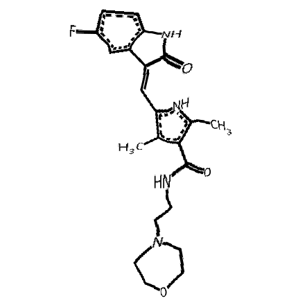 Cc1[nH]c(C=C2C(=O)Nc3ccc(F)cc32)c(C)c1C(=O)NCCN1CCOCC1